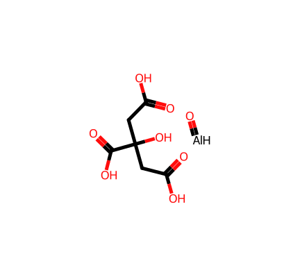 O=C(O)CC(O)(CC(=O)O)C(=O)O.[O]=[AlH]